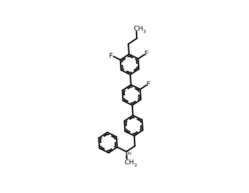 CCCc1c(F)cc(-c2ccc(-c3ccc(C[C@@H](C)c4ccccc4)cc3)cc2F)cc1F